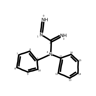 N=NC(=N)N(c1ccccc1)c1ccccc1